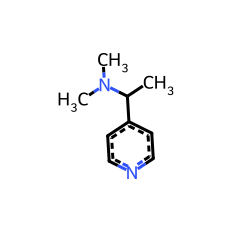 CC(c1ccncc1)N(C)C